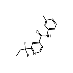 CCC(F)(F)c1cc(C(=O)Nc2cccc(C)c2)ccn1